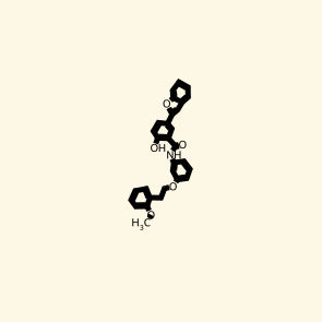 COc1ccccc1CCOc1cccc(NC(=O)c2cc(-c3cc4ccccc4o3)ccc2O)c1